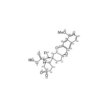 CCC(NC(=O)OC(C)(C)C)[C@]1(C2CCS(=O)(=O)CC2)CC[C@H](Oc2cc3ccnc(OC)c3cc2Cl)CC1